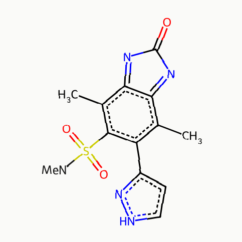 CNS(=O)(=O)c1c(-c2cc[nH]n2)c(C)c2c(c1C)=NC(=O)N=2